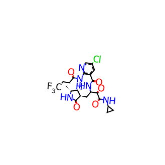 C[C@@H]1C[C@@H](CC(NC(=O)c2cc(Cl)cnc2NC(=O)CCC(F)(F)F)C(=O)C(=O)NC2CC2)C(=O)N1